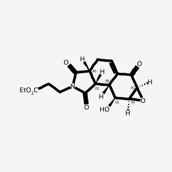 CCOC(=O)CCN1C(=O)[C@H]2[C@@H]3C(=CC[C@H]2C1=O)C(=O)[C@H]1O[C@H]1[C@H]3O